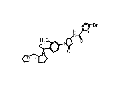 Cc1cc(N2CC(NC(=O)c3ccc(Br)s3)CC2=O)ccc1C(=O)N1CCC[C@H]1CN1CCCC1